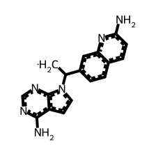 [CH2]C(c1ccc2ccc(N)nc2c1)n1ccc2c(N)ncnc21